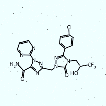 NC(=O)c1nc(Cn2nc(-c3ccc(Cl)cc3)n(CC(O)C(F)(F)F)c2=O)nn1-c1ncccn1